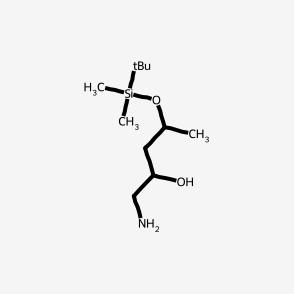 CC(CC(O)CN)O[Si](C)(C)C(C)(C)C